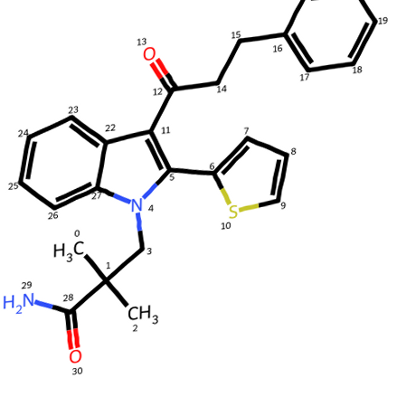 CC(C)(Cn1c(-c2cccs2)c(C(=O)CCc2ccccc2)c2ccccc21)C(N)=O